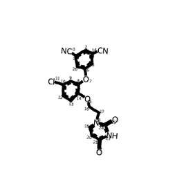 N#Cc1cc(C#N)cc(Oc2cc(Cl)ccc2OCCn2ccc(=O)[nH]c2=O)c1